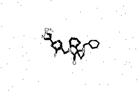 Cn1cc(-c2ccc(CN3C(=O)C4(CCN4CC4CCCCC4)c4ccccc43)c(F)c2)cn1